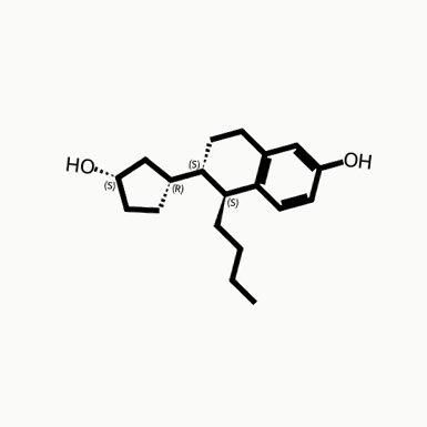 CCCC[C@@H]1c2ccc(O)cc2CC[C@H]1[C@@H]1CC[C@H](O)C1